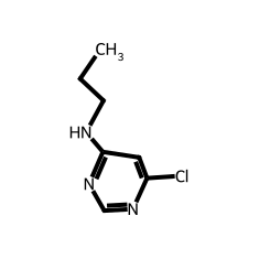 CCCNc1cc(Cl)ncn1